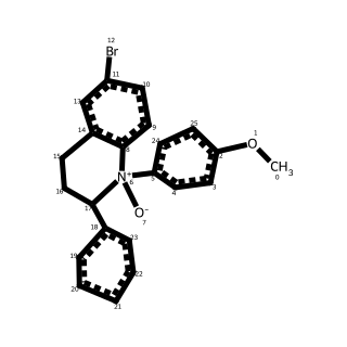 COc1ccc([N+]2([O-])c3ccc(Br)cc3CCC2c2ccccc2)cc1